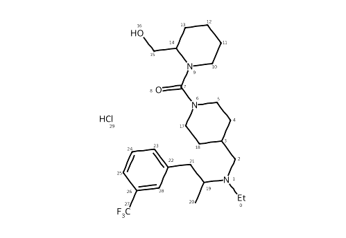 CCN(CC1CCN(C(=O)N2CCCCC2CO)CC1)C(C)Cc1cccc(C(F)(F)F)c1.Cl